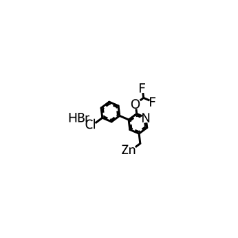 Br.FC(F)Oc1ncc([CH2][Zn])cc1-c1cccc(Cl)c1